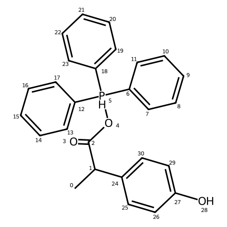 CC(C(=O)O[PH](c1ccccc1)(c1ccccc1)c1ccccc1)c1ccc(O)cc1